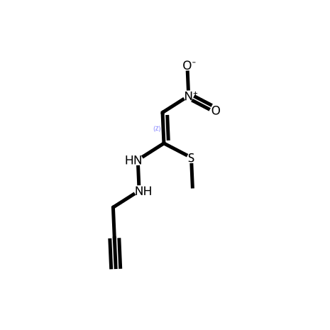 C#CCNN/C(=C/[N+](=O)[O-])SC